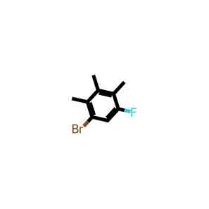 Cc1c(F)cc(Br)c(C)c1C